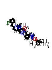 Cn1c2nc(Cc3ccccc3F)ccc2c2cnn(Cc3cccc4c3cnn4COCC[Si](C)(C)C)c(=O)c21